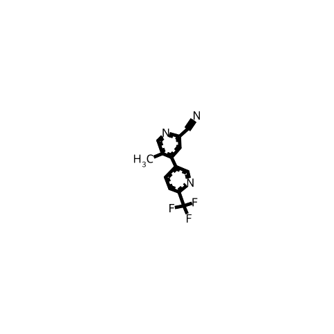 Cc1cnc(C#N)cc1-c1ccc(C(F)(F)F)nc1